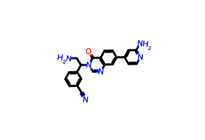 N#Cc1cccc(C(CN)n2cnc3cc(-c4ccnc(N)c4)ccc3c2=O)c1